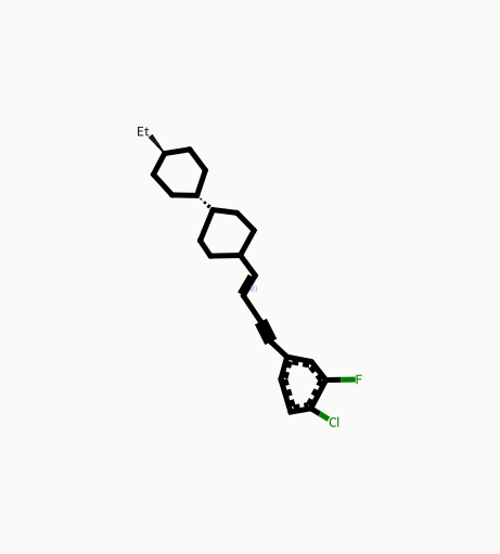 CC[C@H]1CC[C@H](C2CCC(/C=C/C#Cc3ccc(Cl)c(F)c3)CC2)CC1